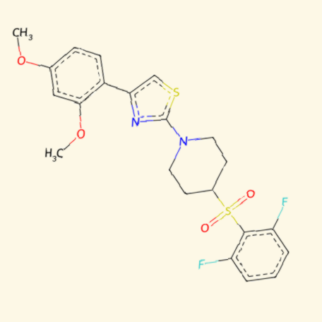 COc1ccc(-c2csc(N3CCC(S(=O)(=O)c4c(F)cccc4F)CC3)n2)c(OC)c1